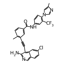 Cc1cn(-c2ccc(NC(=O)c3ccc(C)c(C#Cc4c(N)ncc5ccc(Cl)cc45)c3)cc2C(F)(F)F)cn1